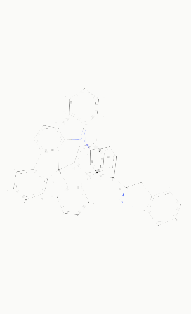 N[C@H](Cc1ccccc1)c1ccc(-n2c3ccccc3c3ccc4c(c32)C(c2ccccc2)(c2ccccc2)c2ccccc2-4)cc1